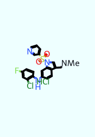 CNCc1cn(S(=O)(=O)c2cccnc2)c2cc(Nc3ccc(F)cc3Cl)ccc12.Cl